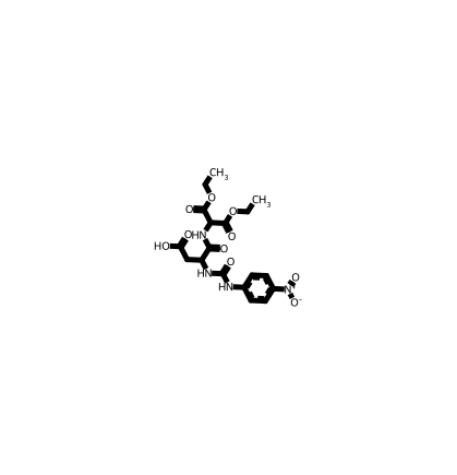 CCOC(=O)C(NC(=O)C(CC(=O)O)NC(=O)Nc1ccc([N+](=O)[O-])cc1)C(=O)OCC